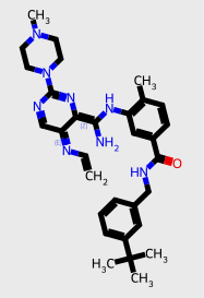 C=C/N=C1/C=NC(N2CCN(C)CC2)=N/C1=C(/N)Nc1cc(C(=O)NCc2cccc(C(C)(C)C)c2)ccc1C